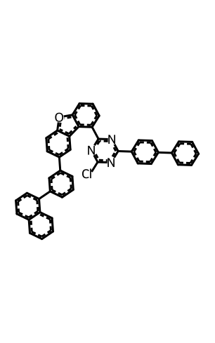 Clc1nc(-c2ccc(-c3ccccc3)cc2)nc(-c2cccc3oc4ccc(-c5cccc(-c6cccc7ccccc67)c5)cc4c23)n1